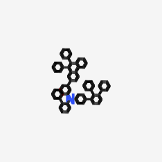 c1ccc(-c2ccccc2N(c2ccc(-c3cccc(-c4ccccc4)c3-c3ccccc3)cc2)c2cccc(-c3ccc4c(c3)c(-c3ccccc3)c(-c3ccccc3)c3ccccc34)c2)cc1